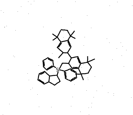 CC1C=C2C(=CC1C1C=C3C(=CC1C[Si](c1ccccc1)(c1ccccc1)C1CCC4C=CC=CC41)C(C)(C)CCC3(C)C)C(C)(C)CCC2(C)C